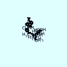 CC(CCCC(=O)N(CC(O)C(O)C(O)C(O)CO)CC(C)(C)CO)c1ccc(Cl)c(CNC2(c3cnccc3-c3ccccc3OC3CC3)CC2)c1